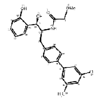 COCC(=O)N[C@@H](Cc1ccc(-c2cc(C)cc(Cl)c2)cc1)[C@H](O)c1ccccc1O